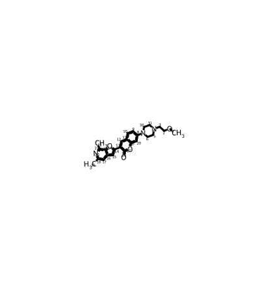 COCCN1CCN(c2ccc3cc(-c4cc5cc(C)nc(C)c5o4)c(=O)oc3c2)CC1